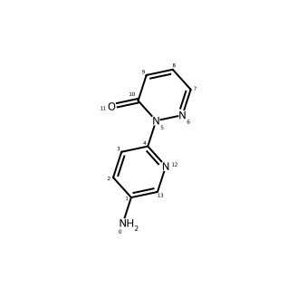 Nc1ccc(-n2ncccc2=O)nc1